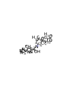 CC1=C(N2CCC3(C/C(=N/C[C@H](O)c4cc(C)c(-n5cnnn5)nn4)CCC(C)C3)C2=O)COC1=O